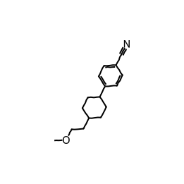 COCCC1CCC(c2ccc(C#N)cc2)CC1